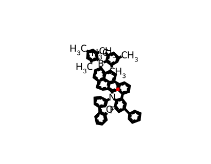 Cc1cc(C)c(B(c2c(C)cc(C)cc2C)c2ccc3ccc4c(N(c5c(F)cc(-c6ccccc6)cc5-c5ccccc5)c5cccc6c5oc5ccccc56)ccc5ccc2c3c54)c(C)c1